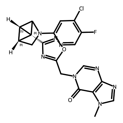 Cn1cnc2ncn(Cc3nc([C@@]45C6[C@H]4[C@H]5CN6c4cc(Cl)c(F)cn4)no3)c(=O)c21